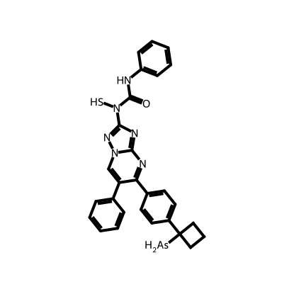 O=C(Nc1ccccc1)N(S)c1nc2nc(-c3ccc(C4([AsH2])CCC4)cc3)c(-c3ccccc3)cn2n1